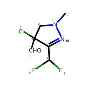 CN1CC(Cl)(C=O)C(C(F)F)=N1